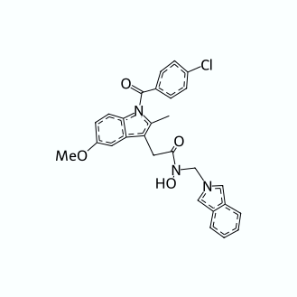 COc1ccc2c(c1)c(CC(=O)N(O)Cn1cc3ccccc3c1)c(C)n2C(=O)c1ccc(Cl)cc1